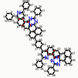 c1ccc(-c2cc(-c3ccc(-c4ccc(-c5ccc(-c6cc(-c7ccccc7)nc(-c7ccc(-c8cccc9cccc(-c%10nc(-c%11ccccc%11)nc(-c%11ccccc%11)n%10)c89)cc7)c6)cc5)c5cccc(-c6nc(-c7ccccc7)nc(-c7ccccc7)n6)c45)cc3)cc(-c3ccccc3)n2)cc1